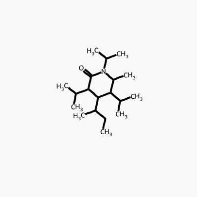 CCC(C)C1C(C(C)C)C(=O)N(C(C)C)C(C)C1C(C)C